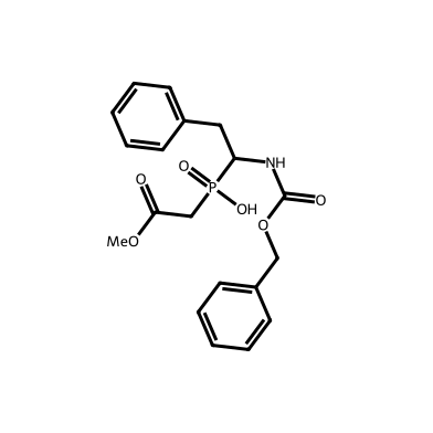 COC(=O)CP(=O)(O)C(Cc1ccccc1)NC(=O)OCc1ccccc1